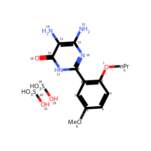 CCCOc1ccc(OC)cc1-c1nc(N)c(N)c(=O)[nH]1.O=S(=O)(O)O.O=S(=O)(O)O